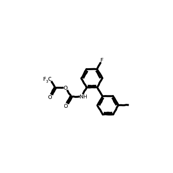 Cc1cccc(-c2cc(F)ccc2NC(=O)OC(=O)C(F)(F)F)c1